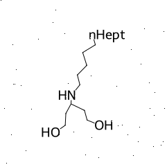 CCCCCCCCCCCCNC(CCO)CCO